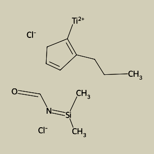 CCCC1=[C]([Ti+2])CC=C1.C[Si](C)=NC=O.[Cl-].[Cl-]